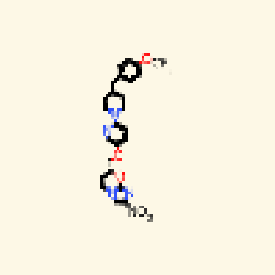 O=[N+]([O-])c1cn2c(n1)O[C@@H](COc1ccc(N3CCC(Cc4ccc(OC(F)(F)F)cc4)CC3)nc1)CC2